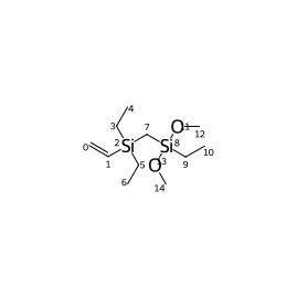 C=C[Si](CC)(CC)C[Si](CC)(OC)OC